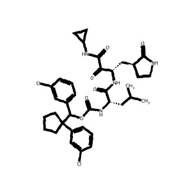 CC(C)C[C@H](NC(=O)OC(c1cccc(Cl)c1)C1(c2cccc(Cl)c2)CCCC1)C(=O)N[C@@H](C[C@@H]1CCNC1=O)C(=O)C(=O)NC1CC1